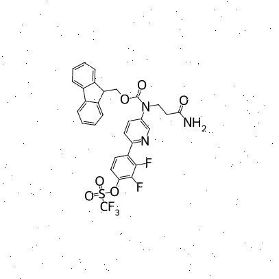 NC(=O)CCN(C(=O)OCC1c2ccccc2-c2ccccc21)c1ccc(-c2ccc(OS(=O)(=O)C(F)(F)F)c(F)c2F)nc1